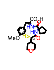 COc1ccc(C[C@H](NC(=O)C2(NC(=O)[C@@H](S)C3CCOCC3)CCCC2)C(=O)O)cc1